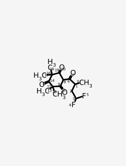 CC(CC(F)F)C(=O)C1C(=O)C(C)(C)C(=O)C(C)(C)C1=O